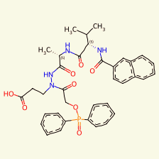 CC(C)[C@H](NC(=O)c1ccc2ccccc2c1)C(=O)N[C@@H](C)C(=O)NN(CCC(=O)O)C(=O)COP(=O)(c1ccccc1)c1ccccc1